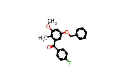 [CH2]c1c(OC)cc(OCc2ccccc2)cc1C(=O)c1ccc(F)cc1